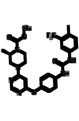 Cc1ccc(NC(=O)Nc2ccc(Oc3cc(N4CCN(C(=O)OC(C)(C)C)[C@H](C)C4)ncn3)cc2)cc1C(F)(F)F